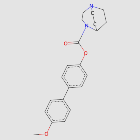 COc1ccc(-c2ccc(OC(=O)N3CCN4CCC3CC4)cc2)cc1